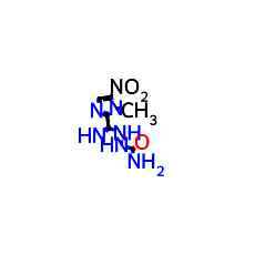 Cn1c([N+](=O)[O-])cnc1C(=N)NNC(N)=O